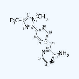 Cn1cc(C(F)(F)F)nc1-c1ccc(Cc2nccnc2N)cc1